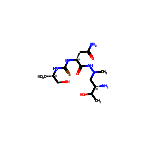 CC(O)[C@@H](N)CN(C)NC(=O)[C@@H](CC(N)=O)NC(=S)N[C@H](CO)C(=O)O